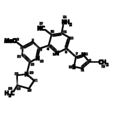 COc1cc(-c2nc(-c3nc(C)cs3)cc(N)c2C#N)nc(N2CCC(C)C2)c1